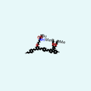 C/C=C/c1ccc(/C=C/c2cc(/C=C/c3ccc(/C=C/c4ccc5c(c4)C(CCCOCCOC)(CCCOCCOC)c4cc(C)ccc4-5)cc3)cc(OCCCCNC(=O)OC(C)(C)C)c2)cc1